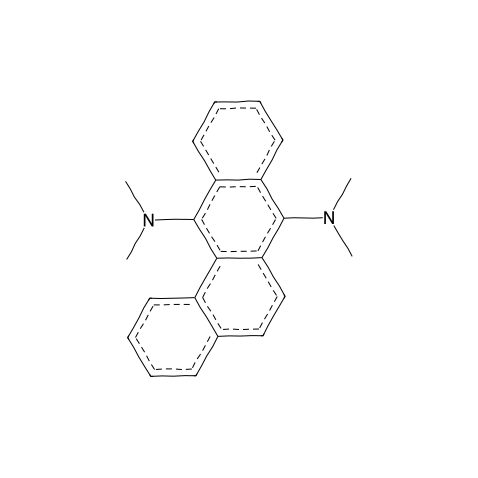 CN(C)c1c2ccccc2c(N(C)C)c2c1ccc1ccccc12